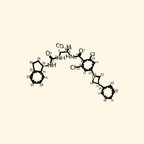 O=C(NCC(NC(=O)c1c(Cl)cc(N2CC(c3ccccc3)C2)cc1Cl)C(=O)O)N[C@@H]1CCc2ccccc21